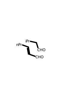 CC(C)CC=O.CCCC=CC=O